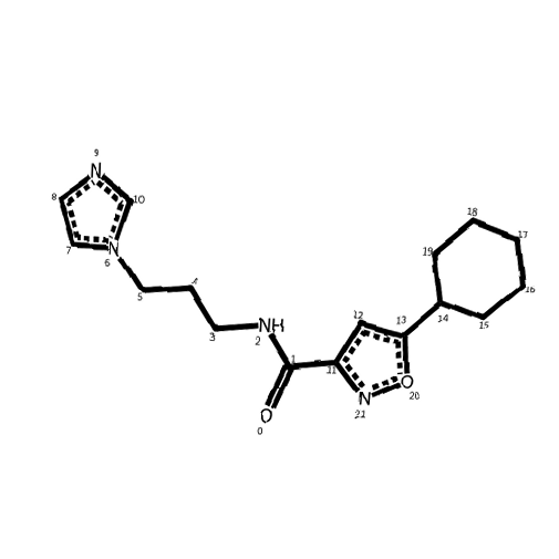 O=C(NCCCn1ccnc1)c1cc(C2CCCCC2)on1